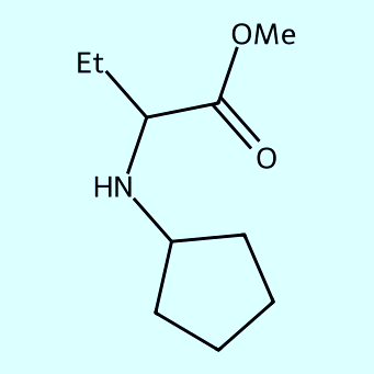 CCC(NC1CCCC1)C(=O)OC